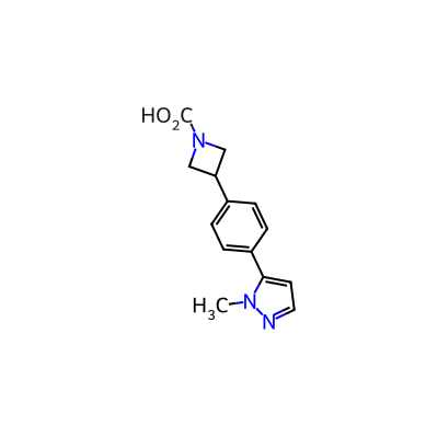 Cn1nccc1-c1ccc(C2CN(C(=O)O)C2)cc1